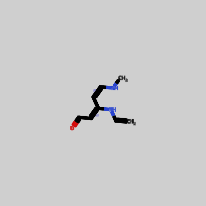 C=CNC(/C=C\NC)=C/C=O